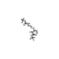 CC(C)(C)OC(=O)NCCCC[C@@H](C[S])NC(=O)OC(C)(C)C